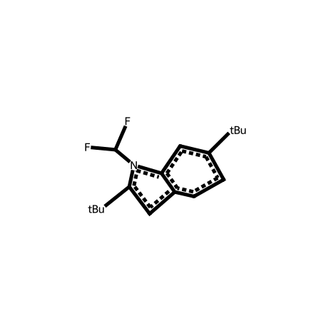 CC(C)(C)c1ccc2cc(C(C)(C)C)n(C(F)F)c2c1